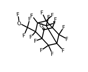 O=C1C2(F)C(F)(F)C3(F)C(F)(F)C1(F)C(F)(C(F)(F)OF)C(F)(C2(F)F)C3(F)F